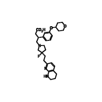 O=C(O)CC(CN1CCC(F)(CCc2ccc3c(n2)NCCC3)C1)c1cccc(OC2CCOCC2)c1